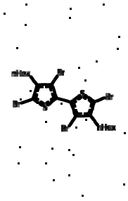 CCCCCCc1c(Br)sc(-c2sc(Br)c(CCCCCC)c2Br)c1Br